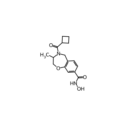 CC1COc2cc(C(=O)NO)ccc2CN1C(=O)C1CCC1